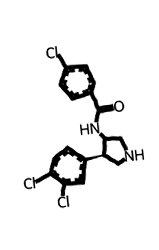 O=C(NC1CNC[C@H]1c1ccc(Cl)c(Cl)c1)c1ccc(Cl)cc1